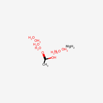 CC(=O)O.O.O.O.O.O.O.O.[MgH2]